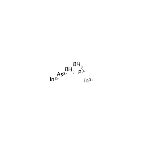 B.B.[As-3].[In+3].[In+3].[P-3]